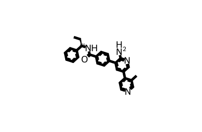 CC[C@@H](NC(=O)c1ccc(-c2cc(-c3ccncc3C)cnc2N)cc1)c1ccccc1